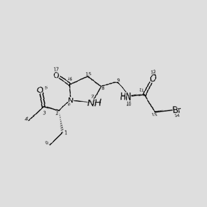 CC[C@H](C(C)=O)N1NC(CNC(=O)CBr)CC1=O